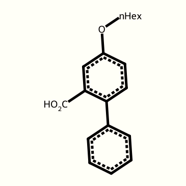 CCCCCCOc1ccc(-c2ccccc2)c(C(=O)O)c1